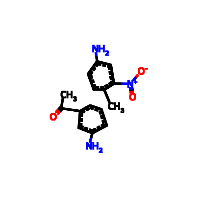 CC(=O)c1cccc(N)c1.Cc1ccc(N)cc1[N+](=O)[O-]